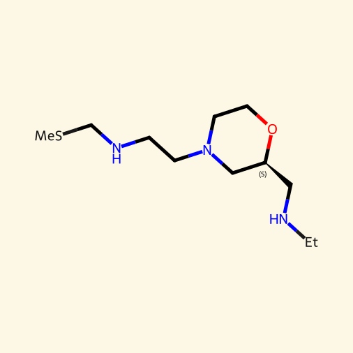 CCNC[C@H]1CN(CCNCSC)CCO1